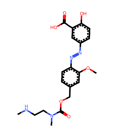 CNCCN(C)C(=O)OCc1ccc(N=Nc2ccc(O)c(C(=O)O)c2)c(OC)c1